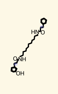 O=C(/C=C/c1ccccc1)NCCCCCCCCCCCCNC(=O)/C=C/c1cccc(O)c1